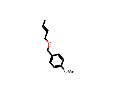 C/C=C/COCc1ccc(OC)cc1